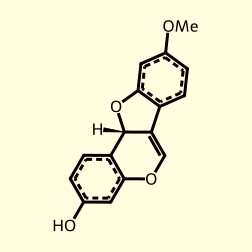 COc1ccc2c(c1)O[C@@H]1C2=COc2cc(O)ccc21